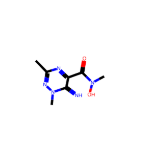 Cc1nc(C(=O)N(C)O)c(=N)n(C)n1